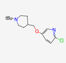 CC(C)(C)N1CCC(COc2ccc(Cl)nc2)CC1